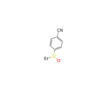 CC[S+]([O-])c1ccc(C#N)cc1